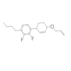 C=CCOC1C=CC(c2ccc(CCCC)c(F)c2F)CC1